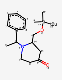 CC(c1ccccc1)N1CCC(=O)CC1CO[Si](C)(C)C(C)(C)C